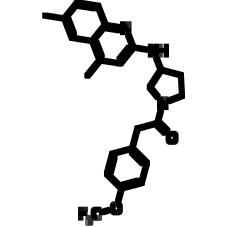 Cc1ccc2nc(NC3CCN(C(=O)Cc4ccc(OC(F)(F)F)cc4)C3)cc(C)c2c1